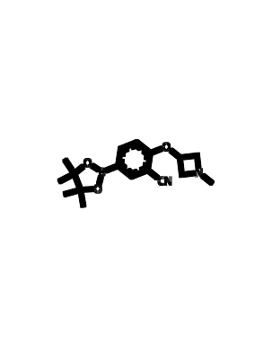 CN1CC(Oc2ccc(B3OC(C)(C)C(C)(C)O3)cc2C#N)C1